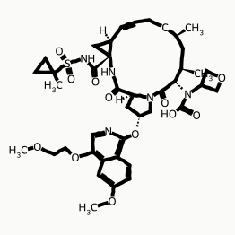 COCCOc1cnc(O[C@@H]2C[C@H]3C(=O)N[C@]4(C(=O)NS(=O)(=O)C5(C)CC5)C[C@H]4C=CCC[C@@H](C)C[C@@H](C)[C@H](N(C(=O)O)C4COC4)C(=O)N3C2)c2ccc(OC)cc12